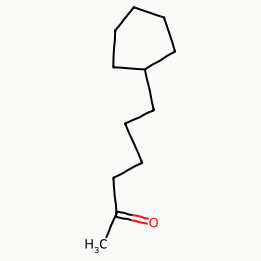 CC(=O)CCCCC1CCCCC1